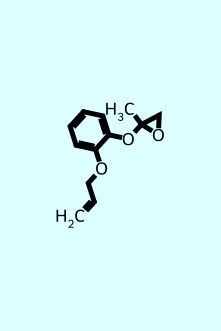 C=CCOc1ccccc1OC1(C)CO1